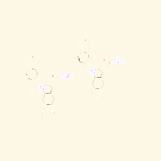 CCCNC(=O)Cc1c(C)n(C(=O)c2ccc(OC(F)(F)F)cc2)c2cc(Cl)c(OC)cc12.CCNC(=O)Cc1c(C)n(C(=O)c2ccc(OC(F)(F)F)cc2)c2cc(Cl)c(OC)cc12